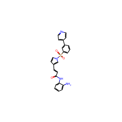 Nc1ccccc1NC(=O)C=Cc1ccn(S(=O)(=O)c2cccc(-c3ccncc3)c2)c1